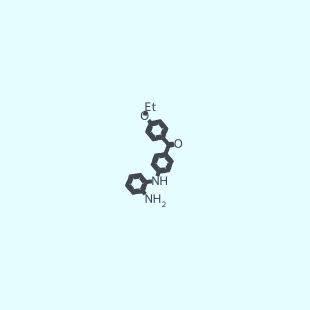 CCOc1ccc(C(=O)c2ccc(Nc3ccccc3N)cc2)cc1